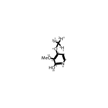 [2H]C([2H])([2H])Oc1ccnc(O)c1OC